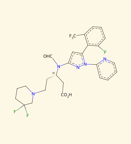 O=CN(c1cc(-c2c(F)cccc2C(F)(F)F)n(-c2ccccn2)n1)[C@@H](CCN1CCCC(F)(F)C1)CC(=O)O